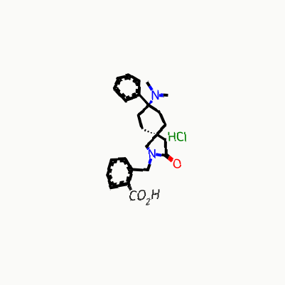 CN(C)[C@]1(c2ccccc2)CC[C@]2(CC1)CC(=O)N(Cc1ccccc1C(=O)O)C2.Cl